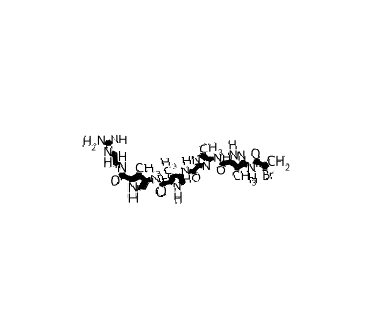 C=C(Br)C(=O)Nc1n[nH]c(C(=O)Nc2nc(C(=O)Nc3c[nH]c(C(=O)Nc4c[nH]c(C(=O)NCCNC(=N)N)c4C)c3C)[nH]c2C)c1C